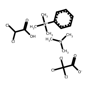 CN(C)C.C[N+](C)(C)c1ccccc1.O=C(O)C(Cl)Cl.O=C([O-])C(Cl)(Cl)Cl